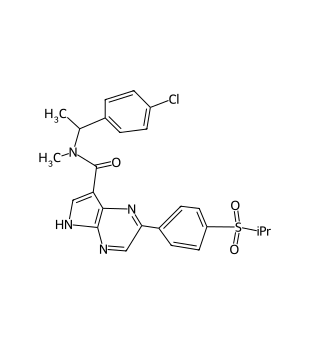 CC(c1ccc(Cl)cc1)N(C)C(=O)c1c[nH]c2ncc(-c3ccc(S(=O)(=O)C(C)C)cc3)nc12